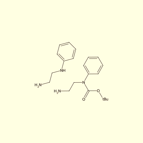 CC(C)(C)OC(=O)N(CCN)c1ccccc1.NCCNc1ccccc1